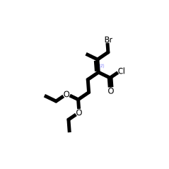 CCOC(CC/C(C(=O)Cl)=C(\C)CBr)OCC